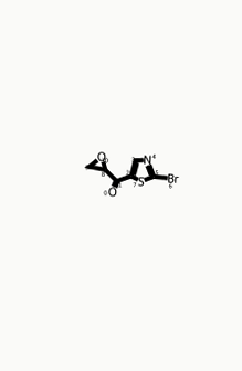 O=C(c1cnc(Br)s1)C1CO1